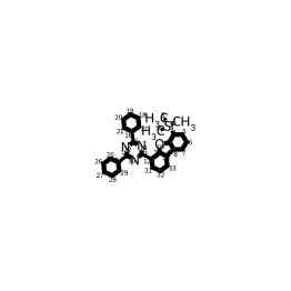 C[Si](C)(C)c1cccc2c1oc1c(-c3nc(-c4ccccc4)nc(-c4ccccc4)n3)cccc12